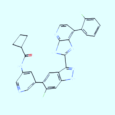 O=C(Nc1cncc(-c2cc3c(-c4nc5c(-c6ccccc6F)ccnc5[nH]4)n[nH]c3cc2F)c1)C1CCC1